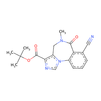 CN1Cc2c(C(=O)OC(C)(C)C)ncn2-c2cccc(C#N)c2C1=O